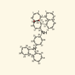 c1ccc(-c2cccc3cccc(-c4ccccc4Nc4ccc(-n5c6ccccc6c6ccccc65)cc4)c23)cc1